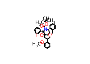 COc1ccccc1C(COCc1ccccc1)C[C@]1(O)CCCN(C(=O)OC(C)(C)C)[C@@H]1c1ccccc1